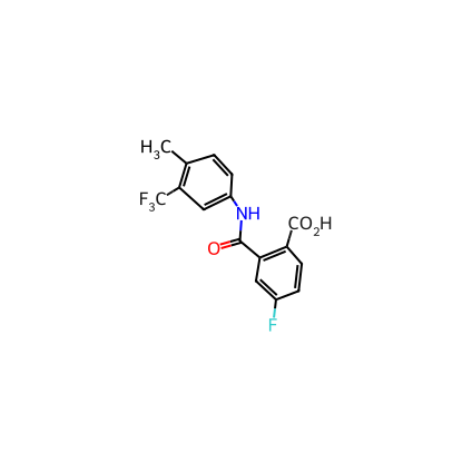 Cc1ccc(NC(=O)c2cc(F)ccc2C(=O)O)cc1C(F)(F)F